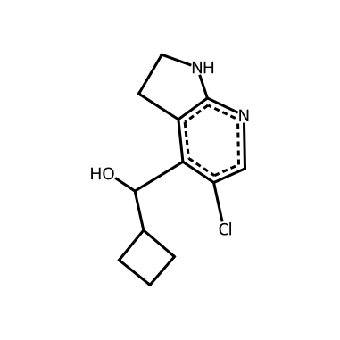 OC(c1c(Cl)cnc2c1CCN2)C1CCC1